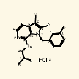 Cc1cccc(Cn2c(C)c(C)c3ccnc(OCC(C)C)c32)c1.Cl